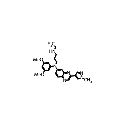 COc1cc(OC)cc(N(CCCNCC(F)(F)F)c2ccc3ncc(-c4cnn(C)c4)nc3c2)c1